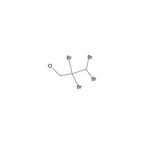 [O]CC(Br)(Br)C(Br)Br